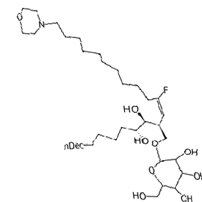 CCCCCCCCCCCCCC[C@@H](O)[C@@H](O)[C@@H](/C=C(/F)CCCCCCCCCCN1CCOCC1)COC1OC(CO)C(O)C(O)C1O